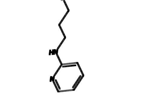 [O]CCCNc1ccccn1